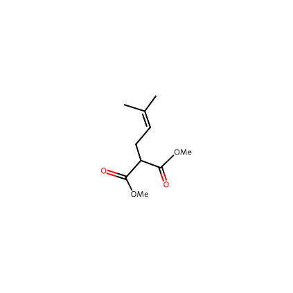 COC(=O)C(CC=C(C)C)C(=O)OC